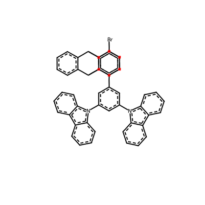 Brc1ccc(-c2cc(-n3c4ccccc4c4ccccc43)cc(-n3c4ccccc4c4ccccc43)c2)c2c1C1c3ccccc3C2c2ccccc21